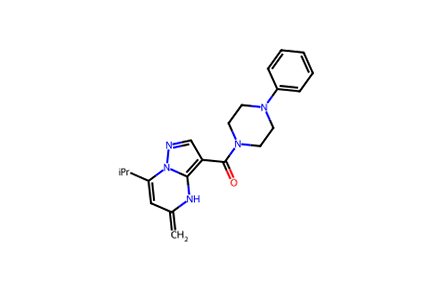 C=C1C=C(C(C)C)n2ncc(C(=O)N3CCN(c4ccccc4)CC3)c2N1